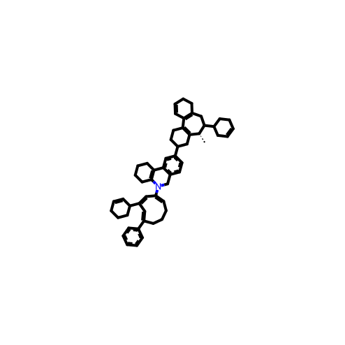 C[C@@H]1C2=C(CCC(c3ccc4c(c3)C3=C(CCCC3)N(C3=C/CCC/C(c5ccccc5)=C/C(C5C=CCCC5)=C\3)C4)C2)C2=C(CCC=C2)CC1C1CC=CCC1